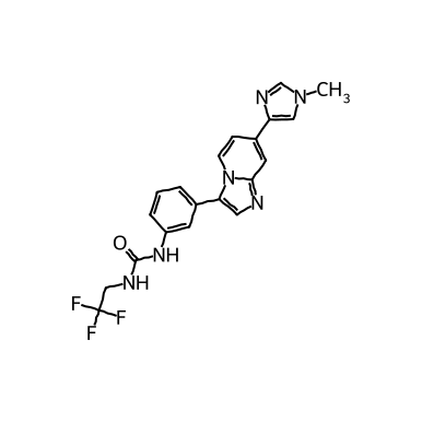 Cn1cnc(-c2ccn3c(-c4cccc(NC(=O)NCC(F)(F)F)c4)cnc3c2)c1